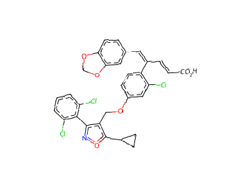 O=C(O)C=CC(=Cc1ccc2c(c1)OCO2)c1ccc(OCc2c(-c3c(Cl)cccc3Cl)noc2C2CC2)cc1Cl